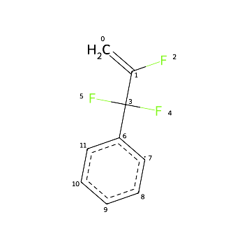 C=C(F)C(F)(F)c1[c]cccc1